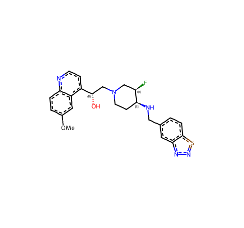 COc1ccc2nccc([C@@H](O)CN3CC[C@H](NCc4ccc5snnc5c4)[C@H](F)C3)c2c1